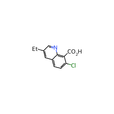 CCc1cnc2c(C(=O)O)c(Cl)ccc2c1